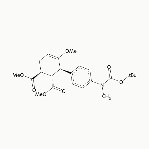 COC(=O)[C@@H]1[C@@H](C(=O)OC)CC=C(OC)[C@H]1c1ccc(N(C)C(=O)OC(C)(C)C)cc1